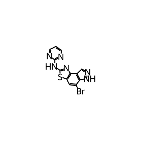 Brc1cc2sc(Nc3ncccn3)nc2c2cn[nH]c12